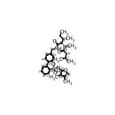 CC[C@H](C)[C@@H](C(=O)NCc1ccc(-c2ccccc2S(=O)(=O)Nc2onc(C)c2C)cc1)N(C)C(=O)CC(C)C